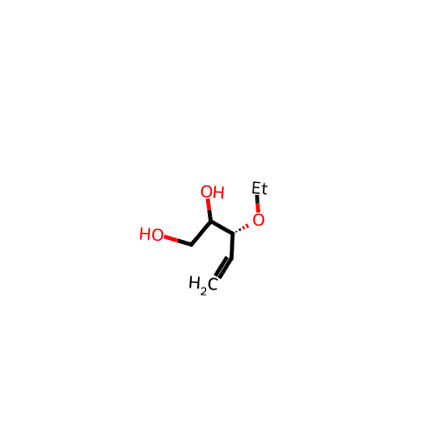 C=C[C@@H](OCC)C(O)CO